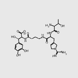 CC(O)C(N)C(=O)NC(CC1=CCN(C(=N)N)C1)C(=O)NCCCC(=O)NC(C(=O)O)C(O)c1ccc(O)c(O)c1